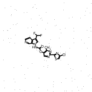 Cc1nc(-c2nc(Cl)cs2)ncc1OC(=O)Nn1cc(C(F)F)c2ccncc21